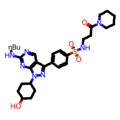 CCCCNc1ncc2c(-c3ccc(S(=O)(=O)NCCC(=O)N4CCCCC4)cc3)nn(C3CCC(O)CC3)c2n1